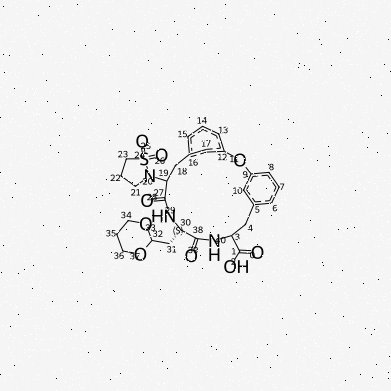 O=C(O)C1Cc2cccc(c2)Oc2cccc(c2)CC(N2CCCS2(=O)=O)C(=O)N[C@@H](CC2OCCCO2)C(=O)N1